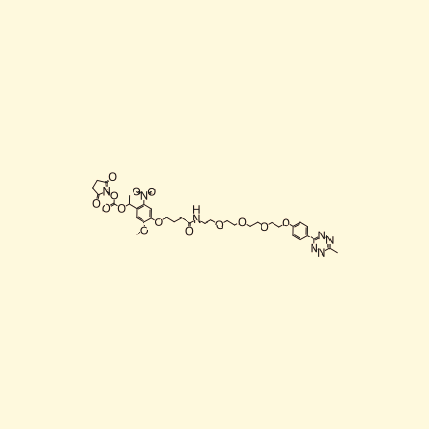 COc1cc(C(C)OC(=O)ON2C(=O)CCC2=O)c([N+](=O)[O-])cc1OCCCC(=O)NCCOCCOCCOCCOc1ccc(-c2nnc(C)nn2)cc1